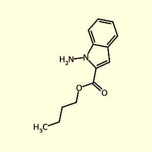 CCCCOC(=O)c1cc2ccccc2n1N